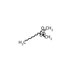 C=CCCCCCCCCC(COC(=O)C=C)OC(=O)C=C